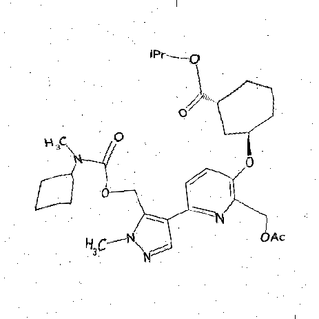 CC(=O)OCc1nc(-c2cnn(C)c2COC(=O)N(C)C2CCC2)ccc1O[C@@H]1CCC[C@@H](C(=O)OC(C)C)C1